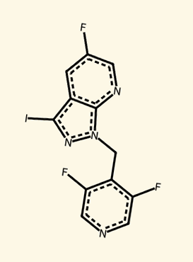 Fc1cnc2c(c1)c(I)nn2Cc1c(F)cncc1F